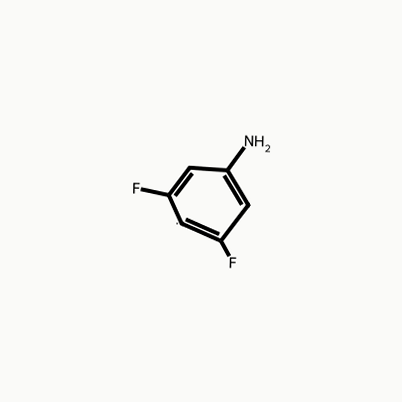 Nc1cc(F)[c]c(F)c1